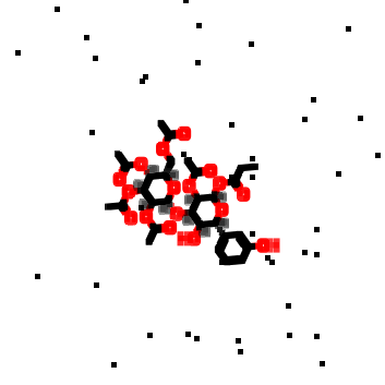 CCC(=O)O[C@H]1O[C@H](c2cccc(O)c2)[C@@H](O)[C@@H](O[C@H]2O[C@H](COC(C)=O)[C@@H](OC(C)=O)[C@H](OC(C)=O)[C@@H]2OC(C)=O)[C@H]1OC(C)=O